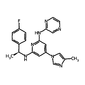 Cc1cn(-c2cc(Nc3cnccn3)nc(N[C@@H](C)c3ccc(F)cc3)c2)cn1